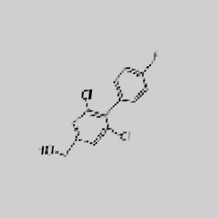 OCc1cc(Cl)c(-c2ccc(F)cc2)c(Cl)c1